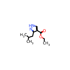 CCOC(=O)c1c[nH]nc1CC(C)C